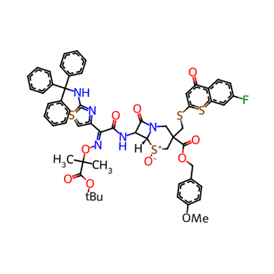 COc1ccc(COC(=O)C2(CSc3cc(=O)c4ccc(F)cc4s3)CN3C(=O)C(NC(=O)C(=NOC(C)(C)C(=O)OC(C)(C)C)c4csc(NC(c5ccccc5)(c5ccccc5)c5ccccc5)n4)[C@H]3[S+]([O-])C2)cc1